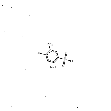 Nc1cc(S(=O)(=O)O)ccc1S.[NaH]